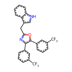 FC(F)(F)c1cccc(-c2nc(Cc3c[nH]c4ccccc34)oc2-c2cccc(C(F)(F)F)c2)c1